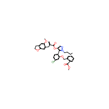 C=C(Cc1cc2c(cc1OC)CCO2)C(=O)Oc1cnn(CCCC)c1-c1ccc(Cl)cc1OCc1ccccc1C(=O)OC